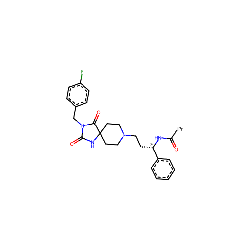 CC(C)C(=O)N[C@@H](CCN1CCC2(CC1)NC(=O)N(Cc1ccc(F)cc1)C2=O)c1ccccc1